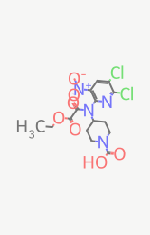 CCOC(=O)C(=O)N(c1nc(Cl)c(Cl)cc1[N+](=O)[O-])C1CCN(C(=O)O)CC1